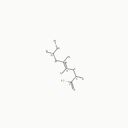 C=C(F)C(C)C/C(C)=C(\C)CC(C)CC